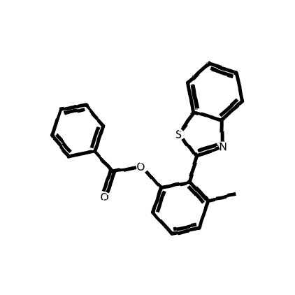 Cc1cccc(OC(=O)c2ccccc2)c1-c1nc2ccccc2s1